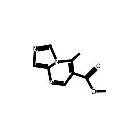 COC(=O)c1cnc2cncn2c1C